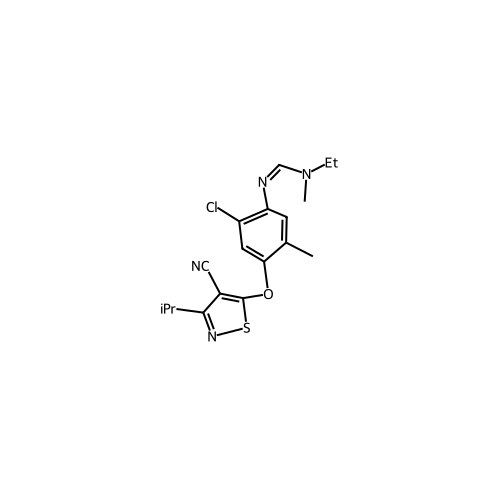 CCN(C)/C=N\c1cc(C)c(Oc2snc(C(C)C)c2C#N)cc1Cl